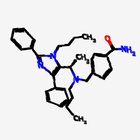 CCCCN(Cc1ccc(C(N)=O)cc1)[C@H](C)c1c(-c2ccccc2)nc(-c2ccccc2)n1CCCC